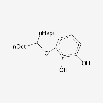 CCCCCCCCC(CCCCCCC)Oc1cccc(O)c1O